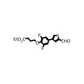 CCOC(=O)CCCOc1c(F)cc(-c2csc(C=O)c2)cc1F